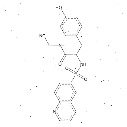 N#CCNC(=O)C(Cc1ccc(O)cc1)NS(=O)(=O)c1ccc2ncccc2c1